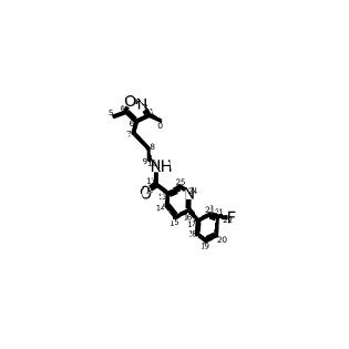 Cc1noc(C)c1CCCNC(=O)c1ccc(-c2cccc(F)c2)nc1